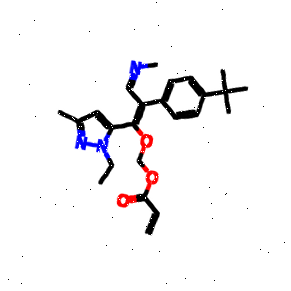 C=CC(=O)OCO/C(=C(/C=N\C)c1ccc(C(C)(C)C)cc1)c1cc(C)nn1CC